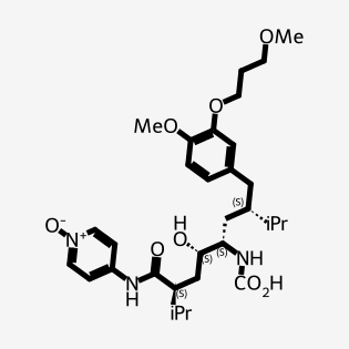 COCCCOc1cc(C[C@@H](C[C@H](NC(=O)O)[C@@H](O)C[C@H](C(=O)Nc2cc[n+]([O-])cc2)C(C)C)C(C)C)ccc1OC